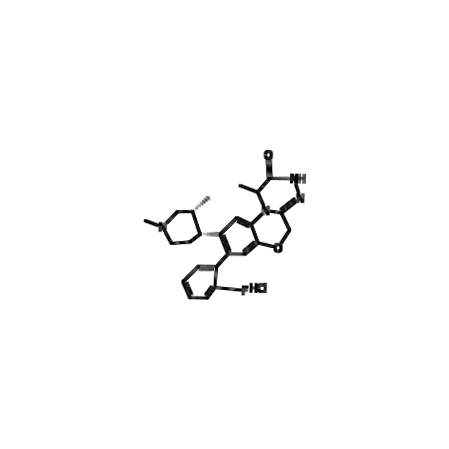 CC1C(=O)NN=C2COc3cc(-c4ccccc4F)c([C@@H]4CCN(C)C[C@@H]4C)cc3N21.Cl